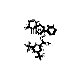 CC(OC[C@@]1(c2ccccc2)CCC2(CN1)COCC(=O)N2)c1cc(C(F)(F)F)cc(C(F)(F)F)c1